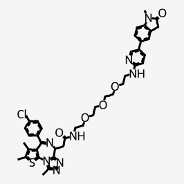 Cc1sc2c(c1C)C(c1ccc(Cl)cc1)=NC(CC(=O)NCCOCCOCCOCCNc1ccc(-c3ccc4c(c3)CC(=O)N4C)cn1)c1nnc(C)n1-2